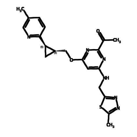 CC(=O)c1nc(NCc2nnc(C)s2)cc(OC[C@@H]2C[C@H]2c2ccc(C)cn2)n1